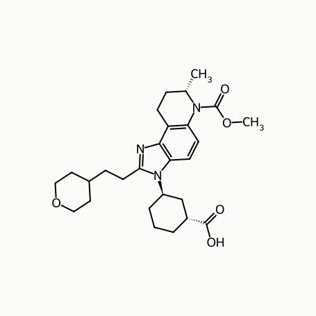 COC(=O)N1c2ccc3c(nc(CCC4CCOCC4)n3[C@@H]3CCC[C@@H](C(=O)O)C3)c2CC[C@@H]1C